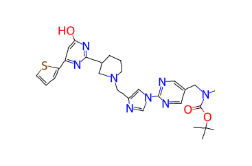 CN(Cc1cnc(-n2cnc(CN3CCCC(c4nc(O)cc(-c5cccs5)n4)C3)c2)nc1)C(=O)OC(C)(C)C